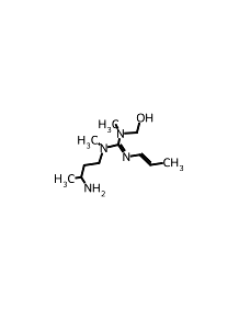 C/C=C/N=C(\N(C)CO)N(C)CCC(C)N